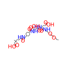 CCCOCCOCCCNC(=O)C(CCC(=O)O)NC(=O)CCC(NC(=O)C1CCC(CNC(=O)CCCC(C)(C)CC(=O)O)CC1)C(=O)O